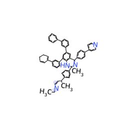 C/C=N\C=C/C(C)c1ccc(C2(C)N=C(c3ccc(-c4ccncc4)cc3)c3cc(-c4cccc(-c5ccccc5)c4)cc(-c4cccc(C5=CCCC=C5)c4)c3N2)cc1